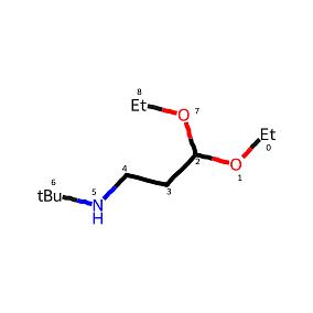 CCOC(CCNC(C)(C)C)OCC